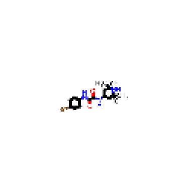 CC1(C)CC(NC(=O)C(=O)Nc2ccc(Br)cc2)CC(C)(C)N1